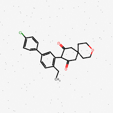 CCc1ccc(-c2ccc(Cl)cc2)cc1C1C(=O)CC2(CCOCC2)CC1=O